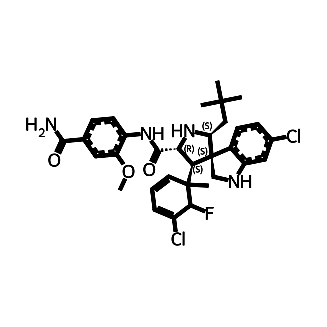 COc1cc(C(N)=O)ccc1NC(=O)[C@@H]1N[C@@H](CC(C)(C)C)[C@@]2(CNc3cc(Cl)ccc32)[C@H]1C1(C)C=CC=C(Cl)C1F